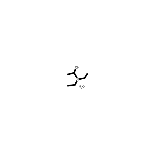 CCN(CC)C(C)O.O